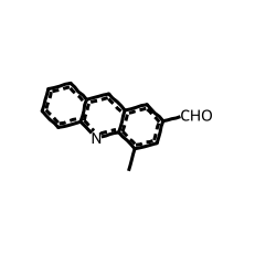 Cc1cc(C=O)cc2cc3ccccc3nc12